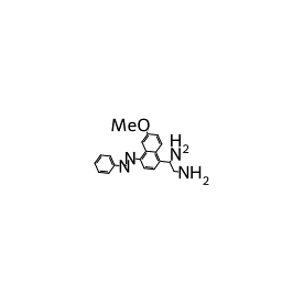 COc1ccc2c(C(N)CN)ccc(N=Nc3ccccc3)c2c1